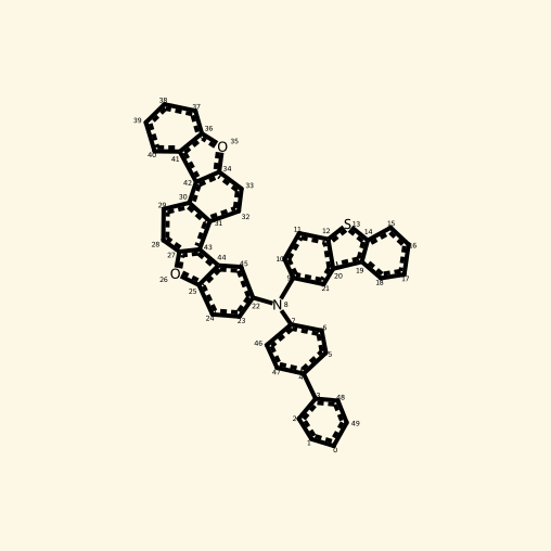 c1ccc(-c2ccc(N(c3ccc4sc5ccccc5c4c3)c3ccc4oc5ccc6c(ccc7oc8ccccc8c76)c5c4c3)cc2)cc1